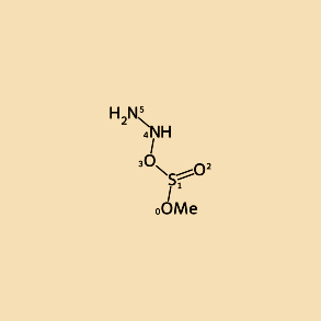 COS(=O)ONN